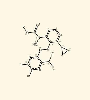 COC(=O)N(O)c1cccc(C2CC2)c1COc1cc(C)c(C)cc1C(F)F